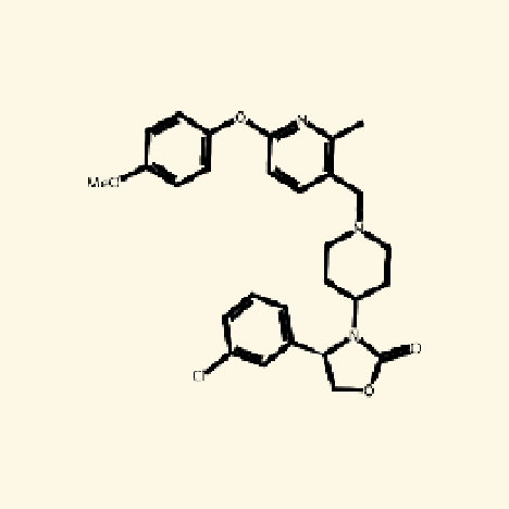 COc1ccc(Oc2ccc(CN3CCC(N4C(=O)OC[C@H]4c4cccc(Cl)c4)CC3)c(C)n2)cc1